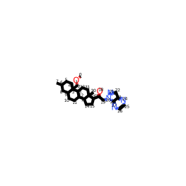 COCC12CCC(C)CC1CCC1C3CCC(C(=O)Cn4ncc5nccnc54)C3(C)CCC12